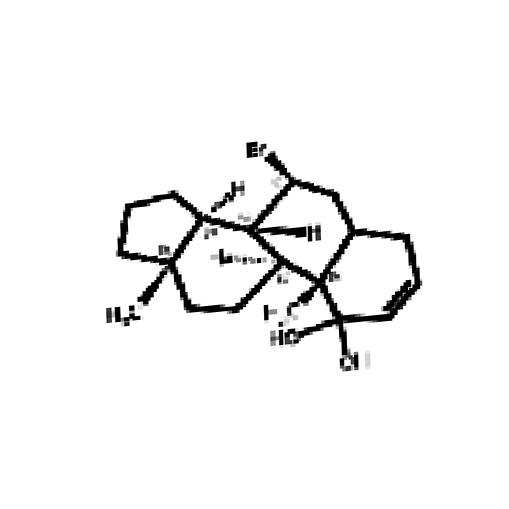 C[C@@]12CCC[C@H]1[C@@H]1[C@@H](Br)CC3CC=CC(O)(O)[C@]3(C)[C@H]1CC2